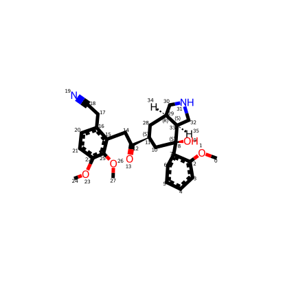 COc1ccccc1[C@]1(O)C[C@@H](C(=O)Cc2c(CC#N)ccc(OC)c2OC)C[C@H]2CNC[C@H]21